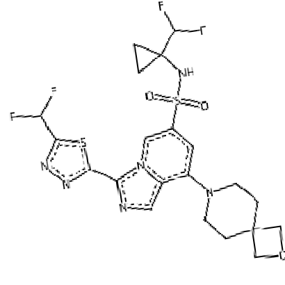 O=S(=O)(NC1(C(F)F)CC1)c1cc(N2CCC3(CC2)COC3)c2cnc(-c3nnc(C(F)F)s3)n2c1